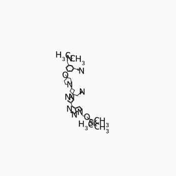 CN(C)Cc1cc(C#N)cc(OC2CCN([C@H]3C[C@](CC#N)(n4cc(-c5ncnc6c5ccn6COCC[Si](C)(C)C)cn4)C3)CC2)c1